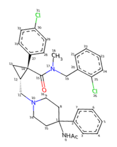 CC(=O)NC1(c2ccccc2)CCN(C[C@@H]2C[C@@]2(C(=O)N(C)Cc2ccccc2Cl)c2ccc(Cl)cc2)CC1